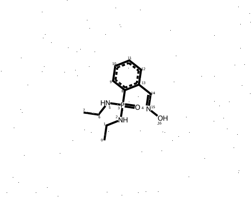 CCNP(=O)(NCC)c1ccccc1C=NO